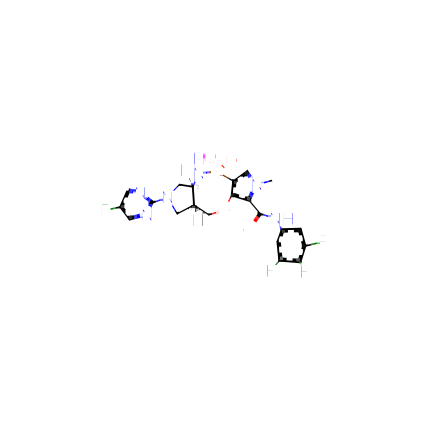 Cn1cc2c(c1C(=O)Nc1cc(F)c(F)c(F)c1)OC[C@@H]1CN(c3ncc(F)cn3)C[C@@H]1NS2(=O)=O